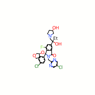 CCC(O)(CN1CC[C@@H](O)C1)c1cc(F)c2c(c1)C(=O)N(Cc1ncc(Cl)cn1)[C@@]2(O[C@H]1CCOC1)c1ccc(Cl)cc1